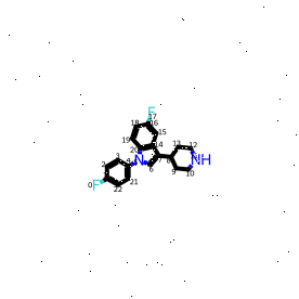 Fc1ccc(-n2cc(C3CCNCC3)c3cc(F)ccc32)cc1